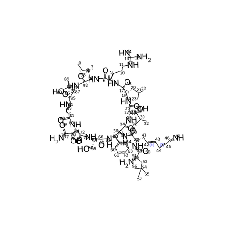 CC[C@H](C)[C@@H]1NC(=O)[C@@H](CCCNC(=N)N)NC(=O)[C@H](CC(C)C)NC(=O)[C@H]([C@H](O)C(C)C)NC(=O)[C@@H](NC(=O)[C@H](C/C=C/C=C\C=N)NC(=O)[C@H](N)CC(C)(C)C)[C@@H](c2ccccc2)NC(=O)[C@H](CO)NC(=O)[C@H]([C@H](O)C(N)=O)NC(=O)CNC(=O)[C@H]([C@H](C)O)NC1=O